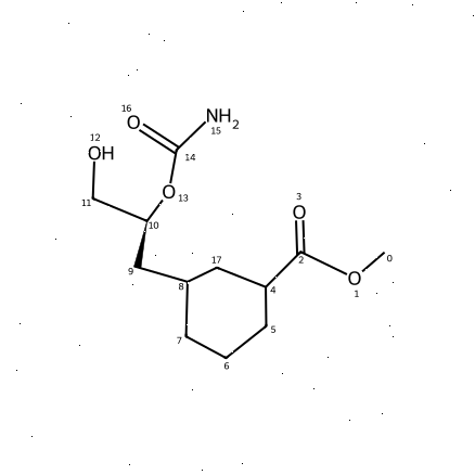 COC(=O)C1CCCC(C[C@@H](CO)OC(N)=O)C1